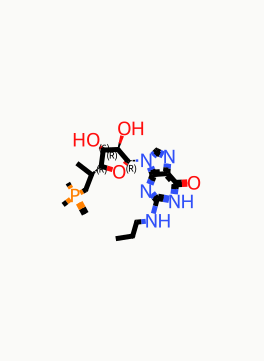 C=P(C)(C)CC(C)[C@H]1O[C@@H](n2cnc3c(=O)[nH]c(NCCC)nc32)[C@H](O)[C@@H]1O